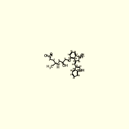 CC(CC[N+](=O)[O-])NCC(O)COc1cccc2c1C(=Cc1c[nH]c3ccccc13)C[NH+]2[O-]